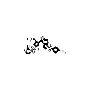 CC[C@@H]1C[C@H](NS(=O)(=O)N2CCOC2=O)CC1c1nnc2cnc3c(ccn3S(=O)(=O)c3ccc(C)cc3)n12